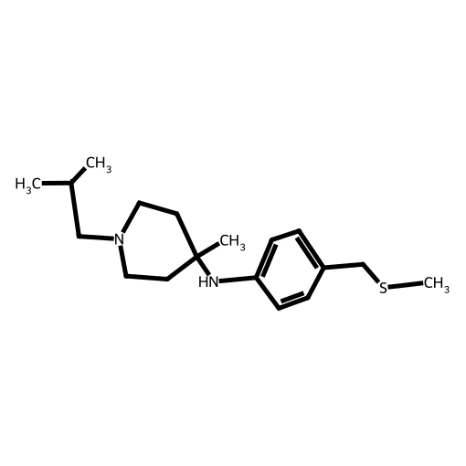 CSCc1ccc(NC2(C)CCN(C[C](C)C)CC2)cc1